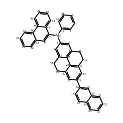 c1ccc(N(c2cc3c4c(c2)CCc2cc(-c5ccc6ccccc6c5)cc(c2-4)CC3)c2cc3ccccc3c3ccccc23)cc1